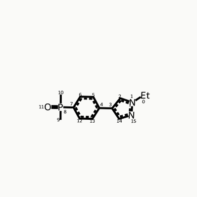 CCn1cc(-c2ccc(P(C)(C)=O)cc2)cn1